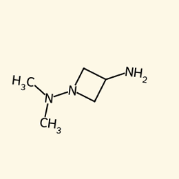 CN(C)N1CC(N)C1